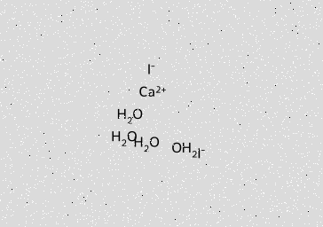 O.O.O.O.[Ca+2].[I-].[I-]